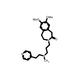 COc1cc2c(cc1OC)CC(=O)N(CCCN(C)CCc1ccncc1)CC2